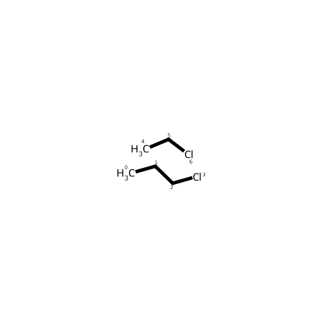 CCCCl.CCCl